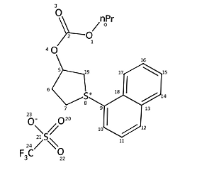 CCCOC(=O)OC1CC[S+](c2cccc3ccccc23)C1.O=S(=O)([O-])C(F)(F)F